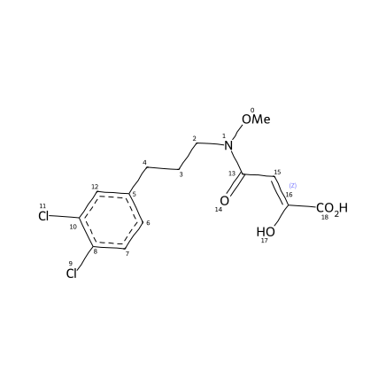 CON(CCCc1ccc(Cl)c(Cl)c1)C(=O)/C=C(\O)C(=O)O